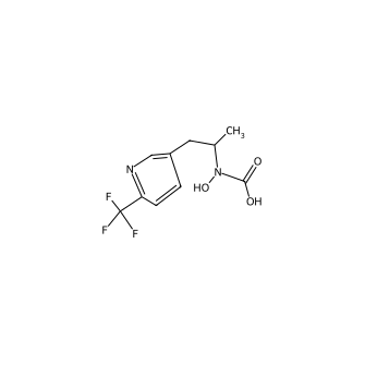 CC(Cc1ccc(C(F)(F)F)nc1)N(O)C(=O)O